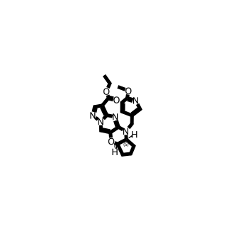 CCOC(=O)c1cnn2cc3c(nc12)N(Cc1ccc(OC)nc1)[C@H]1CCC[C@H]1O3